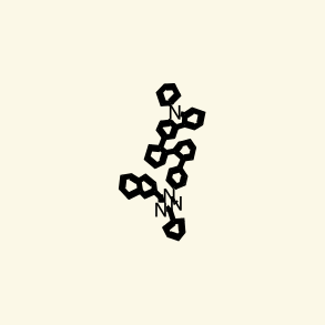 c1ccc(-c2nc(-c3ccc4ccccc4c3)n(-c3ccc(-c4ccccc4-c4ccccc4-c4ccc5c(c4)c4ccccc4n5-c4ccccc4)cc3)n2)cc1